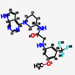 COc1cc(NCC(=O)N[C@@H]2CCCN(c3ncnc4[nH]ccc34)C2)cc(C(F)(F)F)c1